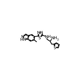 Cc1cc2[nH]ncc2cc1-c1nnc(NCC(N)Cc2cccs2)s1